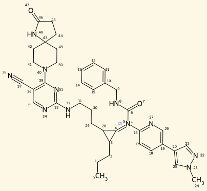 CCCC1/C(=[N+](/C(=O)NCc2ccccc2)c2ccc(-c3cnn(C)c3)cn2)C1CCCNc1ncc(C#N)c(N2CCC3(CCC(=O)N3)CC2)n1